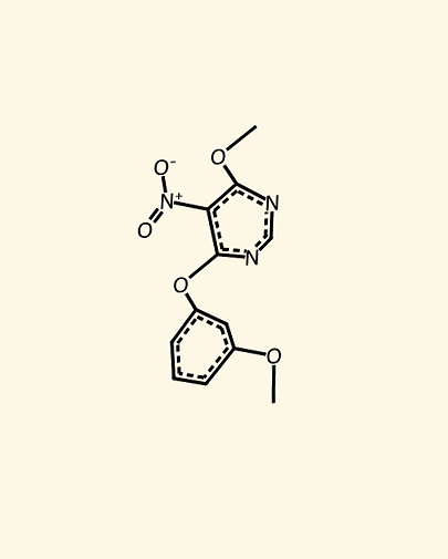 COc1cccc(Oc2ncnc(OC)c2[N+](=O)[O-])c1